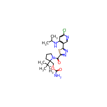 CC(C)Nc1cc(Cl)ncc1-c1nnc(C(=O)N2CCCC2(COC(N)=O)C(C)(C)C)s1